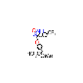 COC(Cc1ccc(OCCC2(Cc3ccc(C(F)(F)F)cc3)CNC(=O)N2C)cc1)C(=O)O